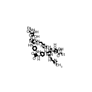 CCNC(=O)[C@H]1O[C@@H](n2cnc3c(N[C@H]4CC[C@H](Nc5c(N[C@H]6CC[C@H](Nc7nc(NCCc8cn(C)cn8)nc8c7ncn8[C@@H]7O[C@H](C(=O)NCC)[C@@H](O)[C@H]7O)CC6)c(=O)c5=O)CC4)nc(NCCc4cn(C)cn4)nc32)[C@H](O)[C@@H]1O